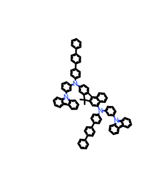 CC1(C)c2cc(N(c3ccc(-c4ccc(-c5ccccc5)cc4)cc3)c3cccc(-n4c5ccccc5c5ccccc54)c3)ccc2-c2c1cc(N(c1ccc(-c3ccc(-c4ccccc4)cc3)cc1)c1cccc(-n3c4ccccc4c4ccccc43)c1)c1ccccc21